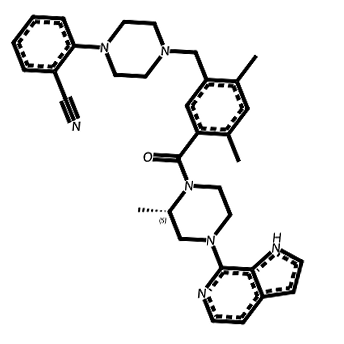 Cc1cc(C)c(C(=O)N2CCN(c3nccc4cc[nH]c34)C[C@@H]2C)cc1CN1CCN(c2ccccc2C#N)CC1